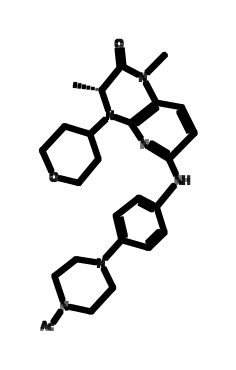 CC(=O)N1CCN(c2ccc(Nc3ccc4c(n3)N(C3CCOCC3)[C@H](C)C(=O)N4C)cc2)CC1